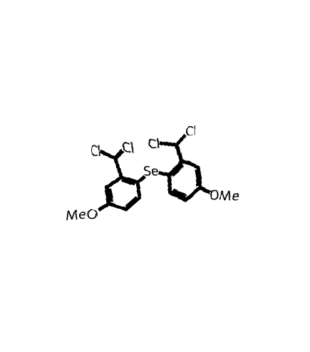 COc1ccc([Se]c2ccc(OC)cc2C(Cl)Cl)c(C(Cl)Cl)c1